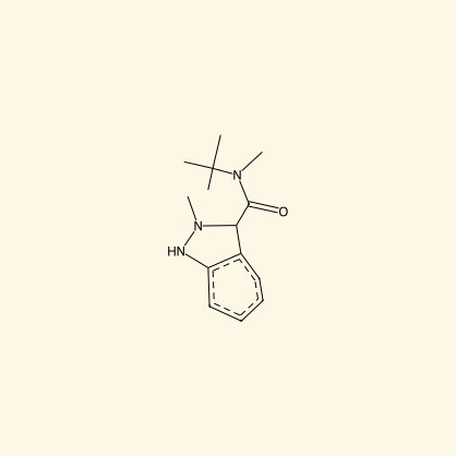 CN1Nc2ccccc2C1C(=O)N(C)C(C)(C)C